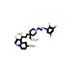 COc1ccc2ncc(F)c([C@H](O)CCC3(CC(=O)O)CCN(CCNc4cc(F)cc(F)c4F)CC3)c2c1